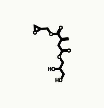 C=C(CC(=O)OCC(O)CO)C(=O)OCC1CO1